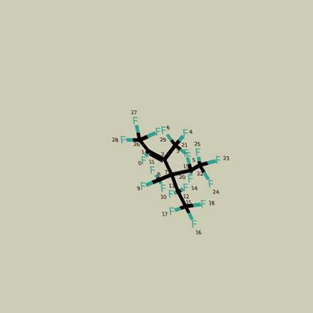 F/C(=C(/C(F)(F)F)C(C(F)(F)F)(C(F)(F)C(F)(F)F)C(F)(F)C(F)(F)F)C(F)(F)F